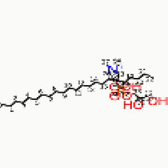 CCCCCCCCCCCCCCCCCC(CCCCC)(C[N+](C)(C)C)OP(=O)(O)OCC(O)CO